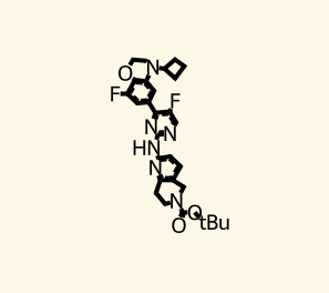 CC(C)(C)OC(=O)N1CCc2nc(Nc3ncc(F)c(-c4cc(F)c5c(c4)N(C4CCC4)CCO5)n3)ccc2C1